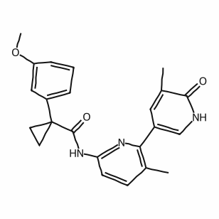 COc1cccc(C2(C(=O)Nc3ccc(C)c(-c4c[nH]c(=O)c(C)c4)n3)CC2)c1